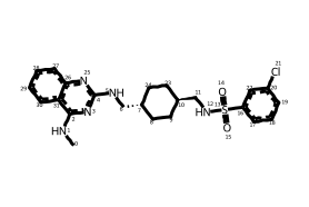 CNc1nc(NC[C@H]2CC[C@H](CNS(=O)(=O)c3cccc(Cl)c3)CC2)nc2ccccc12